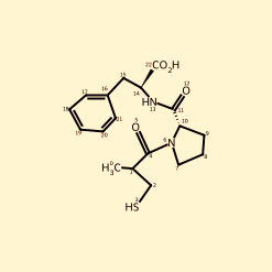 CC(CS)C(=O)N1CCC[C@H]1C(=O)N[C@@H](Cc1ccccc1)C(=O)O